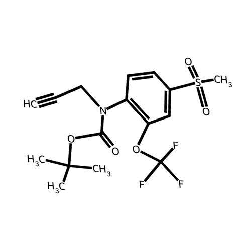 C#CCN(C(=O)OC(C)(C)C)c1ccc(S(C)(=O)=O)cc1OC(F)(F)F